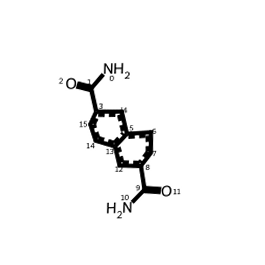 NC(=O)c1[c]c2ccc(C(N)=O)cc2cc1